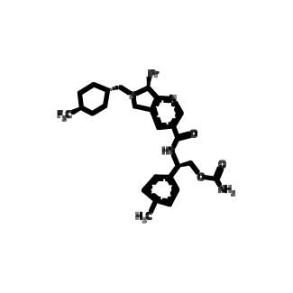 Cc1ccc([C@H](COC(N)=O)NC(=O)c2cnc3c(c2)CN(C[C@H]2CC[C@H](C(F)(F)F)CC2)[C@H]3C(C)C)cc1